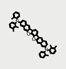 Cc1ccccc1N(c1ccc2cc3c(cc2c1)oc1c3ccc2c3cc4ccc(N(c5ccccc5C)c5cccc(C)c5C)cc4cc3oc21)c1cccc(C)c1C